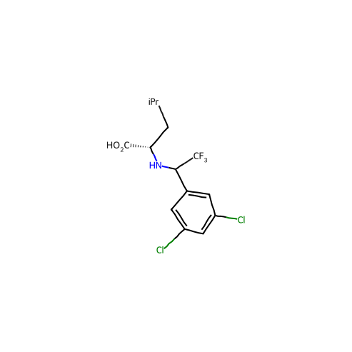 CC(C)C[C@H](NC(c1cc(Cl)cc(Cl)c1)C(F)(F)F)C(=O)O